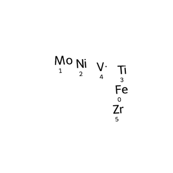 [Fe].[Mo].[Ni].[Ti].[V].[Zr]